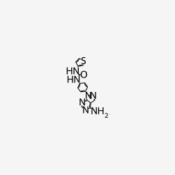 Nc1ncnc2c1cnn2-c1ccc(NC(=O)Nc2ccsc2)cc1